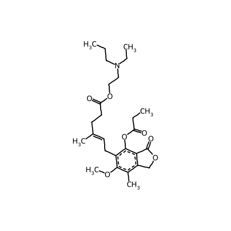 CCCN(CC)CCOC(=O)CC/C(C)=C/Cc1c(OC)c(C)c2c(c1OC(=O)CC)C(=O)OC2